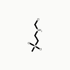 C[Si](Cl)(Cl)CC[SiH2]CCl